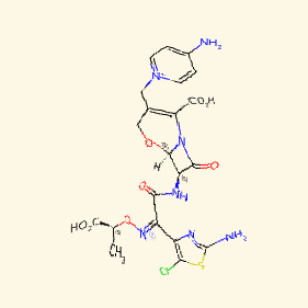 C[C@H](O/N=C(\C(=O)N[C@@H]1C(=O)N2C(C(=O)O)=C(C[n+]3ccc(N)cc3)CO[C@H]12)c1nc(N)sc1Cl)C(=O)O